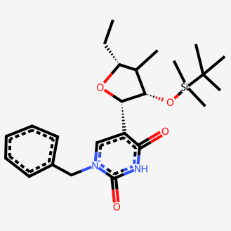 CC[C@H]1O[C@@H](c2cn(Cc3ccccc3)c(=O)[nH]c2=O)[C@@H](O[Si](C)(C)C(C)(C)C)C1C